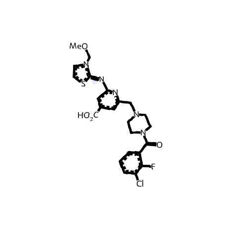 COCn1ccs/c1=N\c1cc(C(=O)O)cc(CN2CCN(C(=O)c3cccc(Cl)c3F)CC2)n1